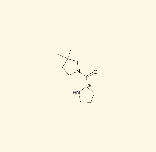 CC1(C)CCN(C(=O)[C@@H]2CCCN2)C1